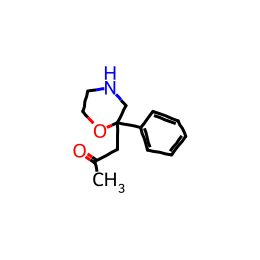 CC(=O)CC1(c2ccccc2)CNCCO1